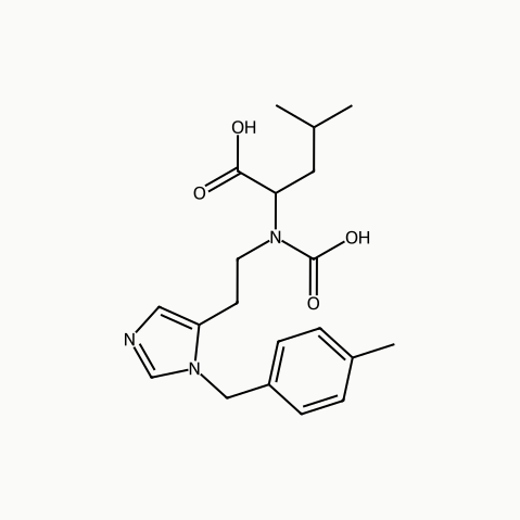 Cc1ccc(Cn2cncc2CCN(C(=O)O)C(CC(C)C)C(=O)O)cc1